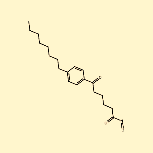 CCCCCCCCc1ccc(C(=O)CCCCC(=O)N=O)cc1